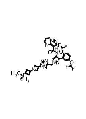 CN(C)[C@H]1C[C@@H](N2CC(n3nnc(Cn4cc(NC(=O)c5cnn6cccnc56)c(-c5cc(OC(F)F)ccc5OC(F)F)n4)n3)C2)C1